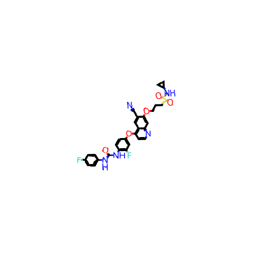 N#Cc1cc2c(Oc3ccc(NC(=O)Nc4ccc(F)cc4)c(F)c3)ccnc2cc1OCCCS(=O)(=O)NC1CC1